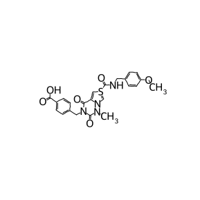 COc1ccc(CNC(=O)S2=CN3C(=C2)C(=O)N(Cc2ccc(C(=O)O)cc2)C(=O)N3C)cc1